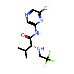 CC(C)[C@@H](NCC(F)(F)F)C(=O)Nc1cncc(Cl)n1